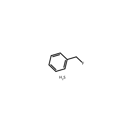 FCc1ccccc1.S